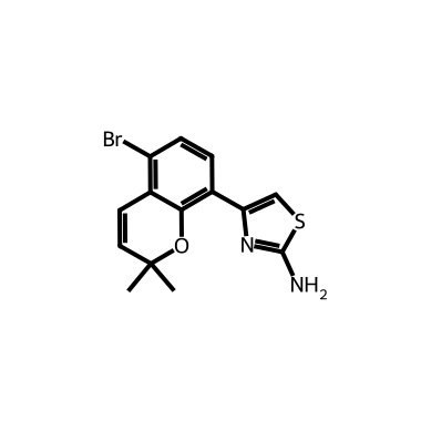 CC1(C)C=Cc2c(Br)ccc(-c3csc(N)n3)c2O1